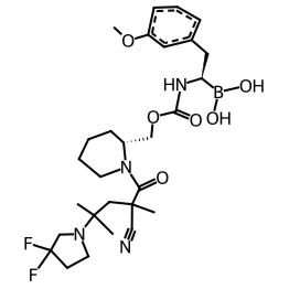 COc1cccc(C[C@H](NC(=O)OC[C@H]2CCCCN2C(=O)C(C)(C#N)CC(C)(C)N2CCC(F)(F)C2)B(O)O)c1